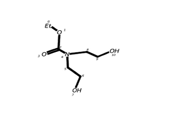 CCOC(=O)N(CCO)CCO